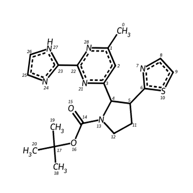 Cc1cc(C2C(c3nccs3)CCN2C(=O)OC(C)(C)C)nc(-c2ncc[nH]2)n1